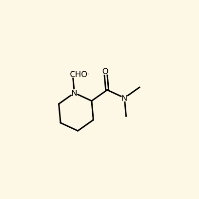 CN(C)C(=O)C1CCCCN1[C]=O